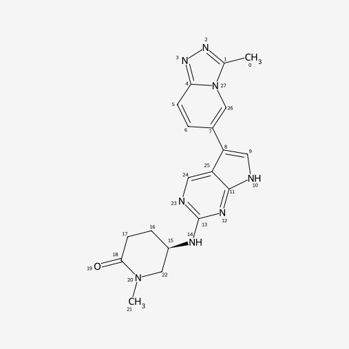 Cc1nnc2ccc(-c3c[nH]c4nc(N[C@@H]5CCC(=O)N(C)C5)ncc34)cn12